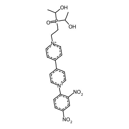 CC(O)P(=O)(CC[n+]1ccc(-c2cc[n+](-c3ccc([N+](=O)[O-])cc3[N+](=O)[O-])cc2)cc1)C(C)O